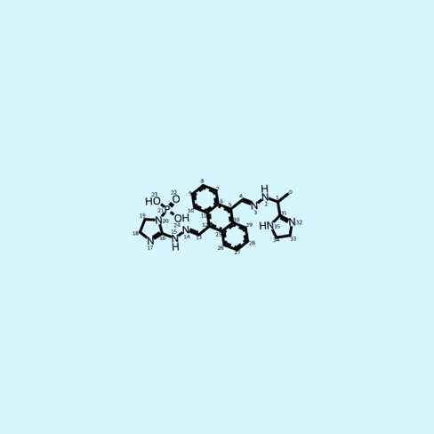 CC(NN=Cc1c2ccccc2c(C=NNC2=NCCN2P(=O)(O)O)c2ccccc12)C1=NCCN1